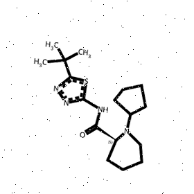 CC(C)(C)c1nnc(NC(=O)[C@@H]2CCCCN2C2CCCC2)s1